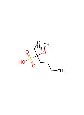 CCCCC(CC)(OC)S(=O)(=O)O